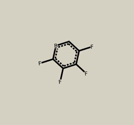 Fc1bcc(F)c(F)c1F